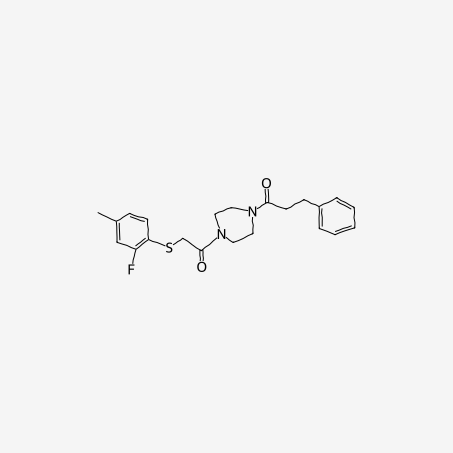 Cc1ccc(SCC(=O)N2CCN(C(=O)CCc3ccccc3)CC2)c(F)c1